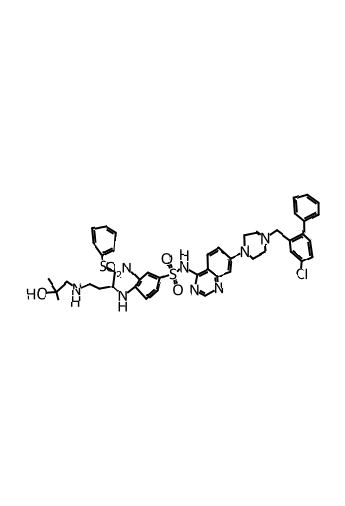 CC(C)(O)CNCCC(CSc1ccccc1)Nc1ccc(S(=O)(=O)Nc2ncnc3cc(N4CCN(Cc5cc(Cl)ccc5-c5ccccc5)CC4)ccc23)cc1[N+](=O)[O-]